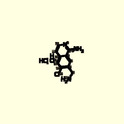 Cl.Cl.NCc1cc2c(N)nccc2cc1Cl